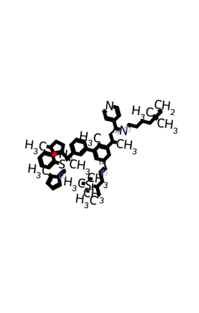 C=CC(C)(C)CCC/C=N/[C@@H](CC(C)C1=C(C)C(c2cccc([C@@](C)(C3=CC(C)CC3)[SH](/C=C3/C=CC=C3C)c3ccccc3)c2)=C[C@H](/C=C/CC(CC)[Si](C)(C)C)C1)c1ccncc1